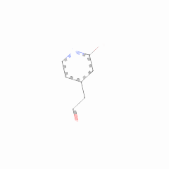 O=CCc1ccnc(Br)c1